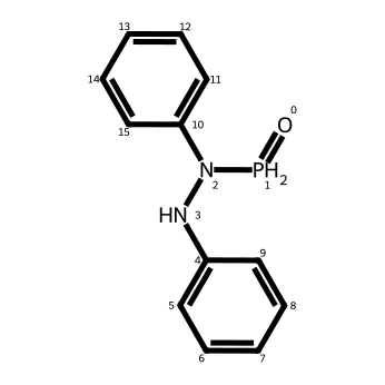 O=[PH2]N(Nc1ccccc1)c1ccccc1